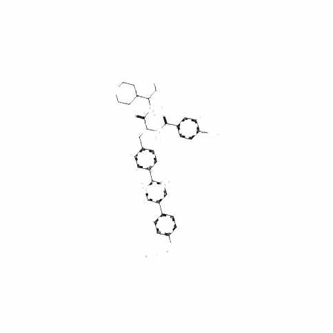 CCCCCCCOc1ccc(-c2cnc(-c3ccc(C[C@H](NC(=O)c4ccc(C(C)(C)C)cc4)C(=O)NC(CC(=O)O)C4CCOCC4)cc3)nc2)cc1